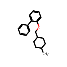 [CH2]C1CCC(COc2ccccc2-c2[c]cccc2)CC1